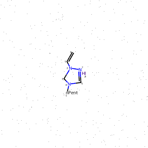 C=CN1CN(CCCCC)C=N1.I